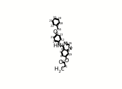 C=CC(=O)Oc1ccc2c(Nc3ccc(OCc4ccccc4)cc3)ncnc2c1